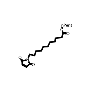 CCCCCOC(=O)CCCCCCCCCCN1C(=O)C=CC1=O